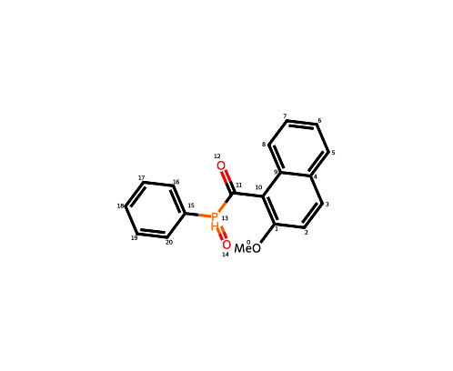 COc1ccc2ccccc2c1C(=O)[PH](=O)c1ccccc1